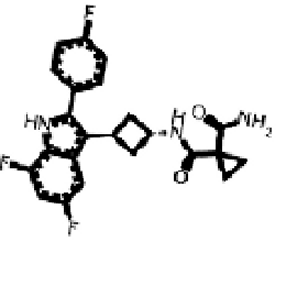 NC(=O)C1(C(=O)N[C@H]2C[C@H](c3c(-c4ccc(F)cc4)[nH]c4c(F)cc(F)cc43)C2)CC1